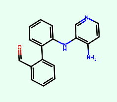 Nc1ccncc1Nc1ccccc1-c1ccccc1C=O